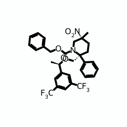 C[C@@H](OC[C@@]1(c2ccccc2)CC[C@@](C)([N+](=O)[O-])CN1C(=O)OCc1ccccc1)c1cc(C(F)(F)F)cc(C(F)(F)F)c1